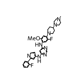 COc1cc(N2CCC(N3CCN(C)CC3)CC2)c(F)cc1Nc1cc(Nc2ccnc(-c3ccccc3F)c2)ncn1